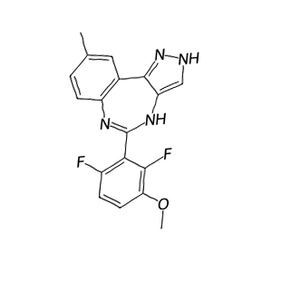 COc1ccc(F)c(C2=Nc3ccc(C)cc3-c3n[nH]cc3N2)c1F